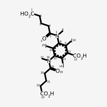 CN(C(=O)CCCC(=O)O)c1c(I)c(C(=O)O)c(I)c(N(C)C(=O)CCCC(=O)O)c1I